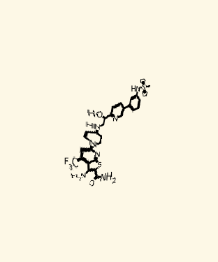 CS(=O)(=O)Nc1cccc(-c2ccc(C(O)CNC3CCN(c4cc(C(F)(F)F)c5c(N)c(C(N)=O)sc5n4)CC3)nc2)c1